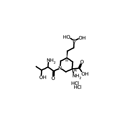 CC(O)C(N)C(=O)N1C[C@@H](CCB(O)O)C[C@](N)(C(=O)O)C1.Cl.Cl